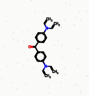 C=CN(C=C)c1ccc(C(=O)c2ccc(N(C=C)C=C)cc2)cc1